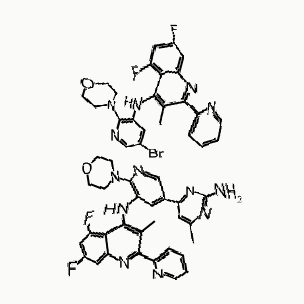 Cc1c(-c2ccccn2)nc2cc(F)cc(F)c2c1Nc1cc(Br)cnc1N1CCOCC1.Cc1cc(-c2cnc(N3CCOCC3)c(Nc3c(C)c(-c4ccccn4)nc4cc(F)cc(F)c34)c2)nc(N)n1